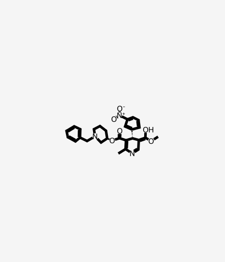 CO/C(O)=C1\C=NC(C)=C(C(=O)O[C@@H]2CCCN(Cc3ccccc3)C2)[C@@H]1c1cccc([N+](=O)[O-])c1